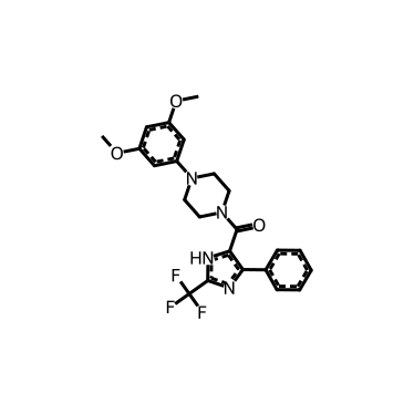 COc1cc(OC)cc(N2CCN(C(=O)c3[nH]c(C(F)(F)F)nc3-c3ccccc3)CC2)c1